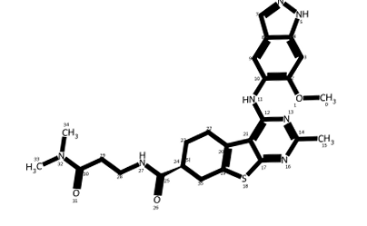 COc1cc2[nH]ncc2cc1Nc1nc(C)nc2sc3c(c12)CC[C@H](C(=O)NCCC(=O)N(C)C)C3